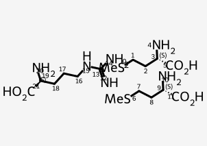 CSCC[C@H](N)C(=O)O.CSCC[C@H](N)C(=O)O.N=C(N)NCCC[C@H](N)C(=O)O